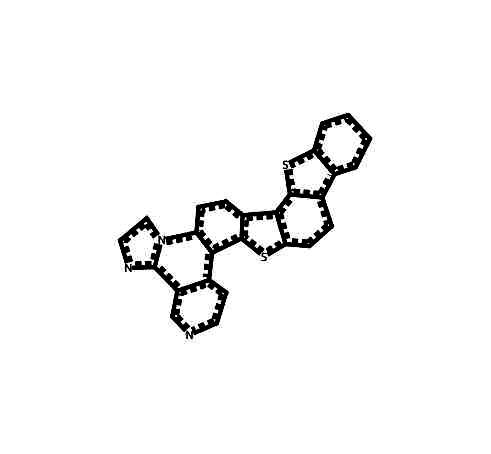 c1ccc2c(c1)sc1c2ccc2sc3c(ccc4c3c3ccncc3c3nccn43)c21